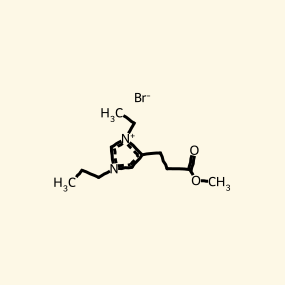 CCCn1cc(CCC(=O)OC)[n+](CC)c1.[Br-]